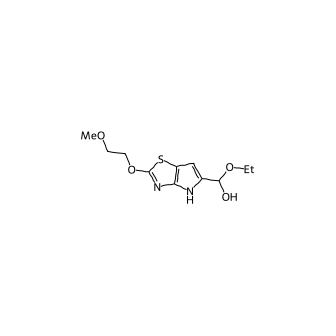 CCOC(O)c1cc2sc(OCCOC)nc2[nH]1